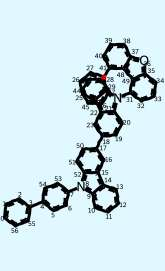 c1ccc(-c2ccc(-n3c4ccccc4c4cc(-c5ccc6c(c5)c5ccccc5n6-c5cccc6oc7cccc(-c8ccccc8)c7c56)ccc43)cc2)cc1